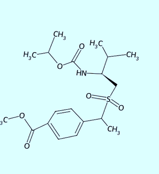 COC(=O)c1ccc(C(C)S(=O)(=O)C[C@@H](NC(=O)OC(C)C)C(C)C)cc1